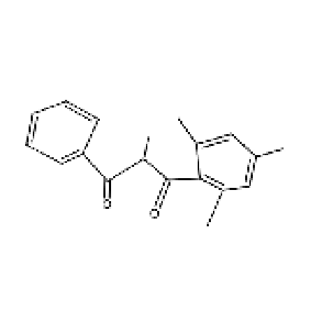 Cc1cc(C)c(C(=O)C(C)C(=O)c2ccccc2)c(C)c1